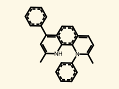 CC1=CC(c2ccccc2)=c2ccc3c(c2N1)N(c1ccccc1)C(C)=CC=3